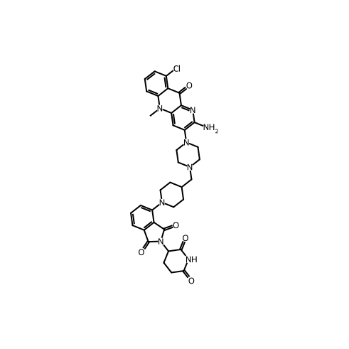 Cn1c2cc(N3CCN(CC4CCN(c5cccc6c5C(=O)N(C5CCC(=O)NC5=O)C6=O)CC4)CC3)c(N)nc2c(=O)c2c(Cl)cccc21